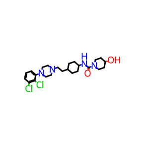 O=C(NC1CCC(CCN2CCN(c3cccc(Cl)c3Cl)CC2)CC1)N1CCC(O)CC1